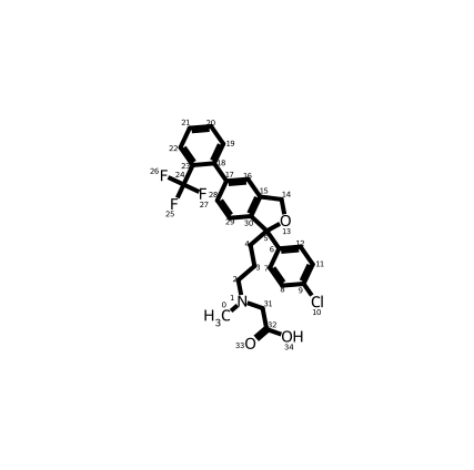 CN(CCCC1(c2ccc(Cl)cc2)OCc2cc(-c3ccccc3C(F)(F)F)ccc21)CC(=O)O